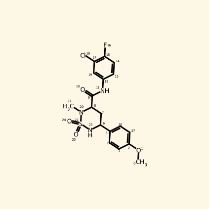 COc1ccc(C2CC(C(=O)Nc3ccc(F)c(Cl)c3)N(C)S(=O)(=O)N2)cc1